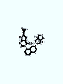 c1ccc2c(c1)CC[C@H](N1C[C@H]3COC[C@H]3C1)[C@H]2Nc1ncnc2[nH]c(C3CC3)cc12